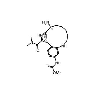 COC(=O)Nc1ccc2c(c1)NCCCCC[C@H](N)c1nc-2c(C(=O)N(C)C)[nH]1